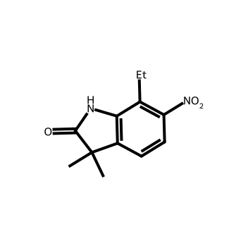 CCc1c([N+](=O)[O-])ccc2c1NC(=O)C2(C)C